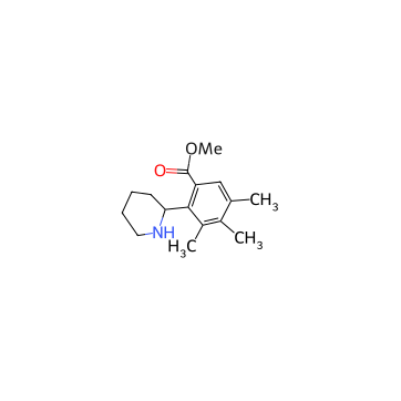 COC(=O)c1cc(C)c(C)c(C)c1C1CCCCN1